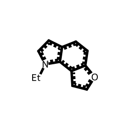 CCn1ccc2ccc3occc3c21